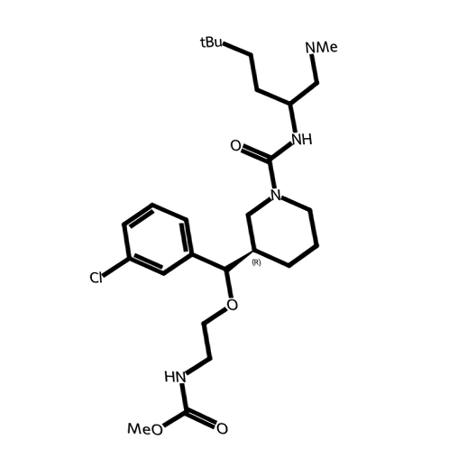 CNCC(CCC(C)(C)C)NC(=O)N1CCC[C@@H](C(OCCNC(=O)OC)c2cccc(Cl)c2)C1